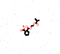 C=C(C)C(=O)OCCOC(=O)c1ccccc1C(=O)OC